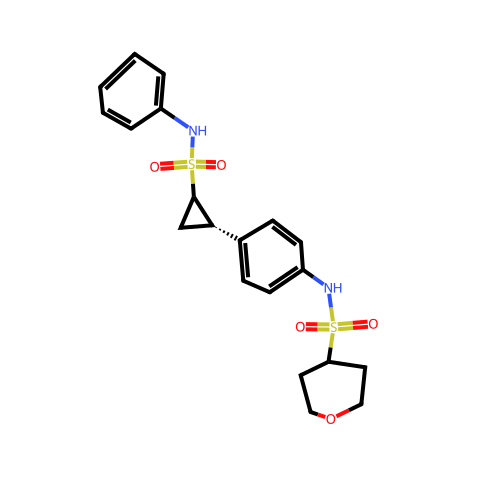 O=S(=O)(Nc1ccc([C@@H]2CC2S(=O)(=O)Nc2ccccc2)cc1)C1CCOCC1